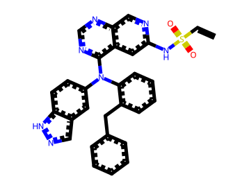 C=CS(=O)(=O)Nc1cc2c(N(c3ccc4[nH]ncc4c3)c3ccccc3Cc3ccccc3)ncnc2cn1